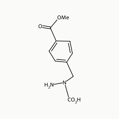 COC(=O)c1ccc(CN(N)C(=O)O)cc1